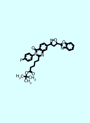 CC(C)(C)OC(=O)CCCCc1nc2cc(C3=NOC(c4nc5ccccc5o4)C3)ccc2c(=O)n1-c1ccc(F)cc1